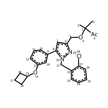 CC(=O)C(C)(C)OCc1cc(-c2cccc(OC3CCC3)c2)n(Cc2ccccc2Cl)n1